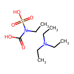 CCN(C(=O)O)S(=O)(=O)O.CCN(CC)CC